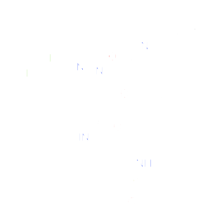 COc1nc(C2CC2)cc(F)c1Oc1nnc(C(F)(F)F)c(C)c1C(=O)Nc1cccc(S(C)(=N)=O)c1